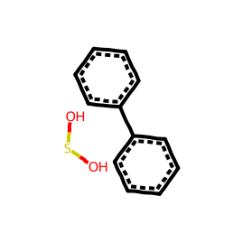 OSO.c1ccc(-c2ccccc2)cc1